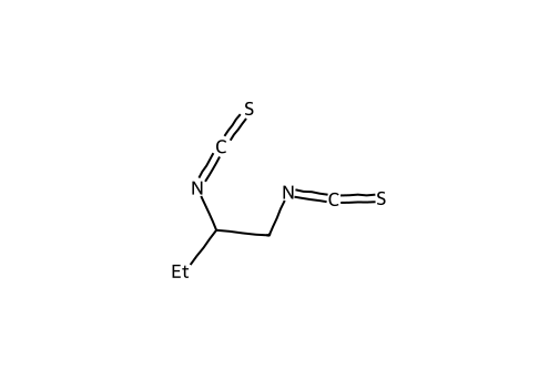 CCC(CN=C=S)N=C=S